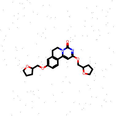 O=c1nc(OCC2CCCO2)cc2n1CCc1cc(OCC3CCCO3)ccc1-2